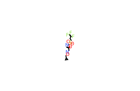 O=S(=O)(CCC(F)=C(F)F)c1ncc(/C=N/OCC2CC2)o1